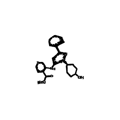 COC(=O)c1ccncc1Nc1cc(-c2ccccc2)nn1C1CCC(O)CC1